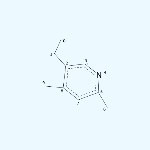 CCc1[c]nc(C)cc1C